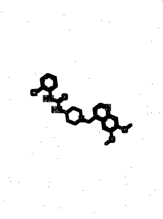 COc1cc2nccc(CN3CCC(NC(=O)Nc4ccccc4Cl)CC3)c2cc1OC